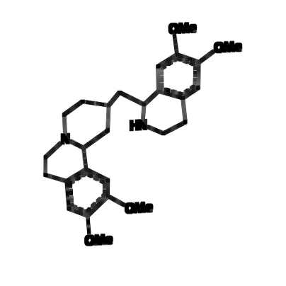 COc1cc2c(cc1OC)C(CC1CCN3CCc4cc(OC)c(OC)cc4C3C1)NCC2